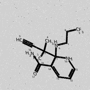 C#CC(C)(C)C1(NCCC(F)(F)F)NC=CC=C1C(N)=O